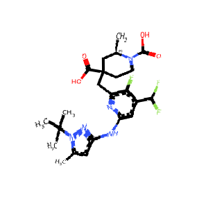 Cc1cc(Nc2cc(C(F)F)c(F)c(CC3(C(=O)O)CCN(C(=O)O)[C@H](C)C3)n2)nn1C(C)(C)C